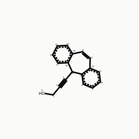 OCC#CC1c2ccccc2C=Cc2ccccc21